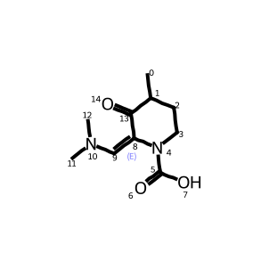 CC1CCN(C(=O)O)/C(=C/N(C)C)C1=O